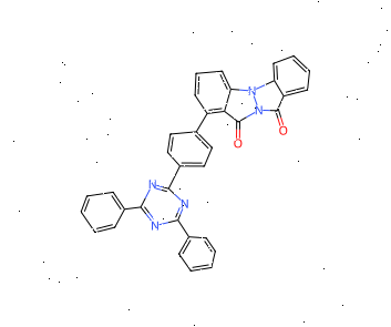 O=c1c2ccccc2n2c3cccc(-c4ccc(-c5nc(-c6ccccc6)nc(-c6ccccc6)n5)cc4)c3c(=O)n12